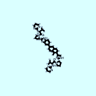 Cc1c(-c2c[nH]c([C@@H]3CCCN3C(=O)[C@@H](Nc3ncccn3)C(C)C)n2)ccc2cc(-c3ccc4[nH]c([C@@H]5CCCN5C(=O)[C@@H](Nc5ncccn5)C(C)C)nc4c3)ccc12